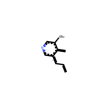 C=C/C=c1/cncc(C(C)(C)C)c1=C